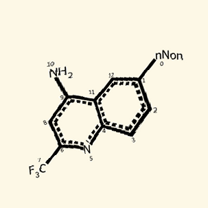 CCCCCCCCCc1ccc2nc(C(F)(F)F)cc(N)c2c1